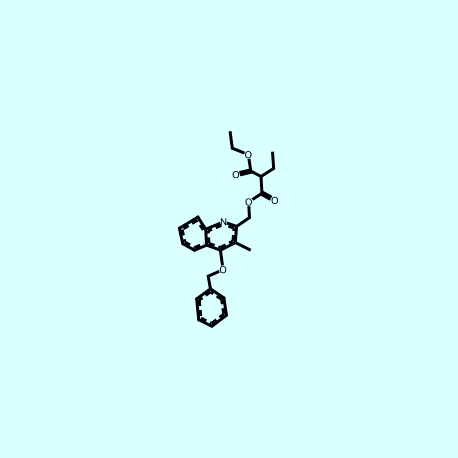 CCOC(=O)C(CC)C(=O)OCc1nc2ccccc2c(OCc2ccccc2)c1C